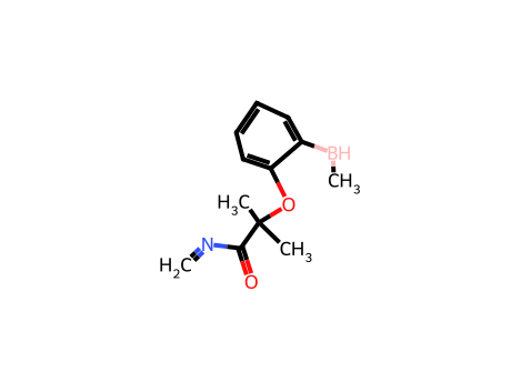 C=NC(=O)C(C)(C)Oc1ccccc1BC